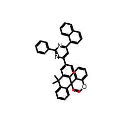 CC1(C)c2ccccc2C2(c3ccccc3Oc3ccccc32)c2ccc(-c3cc(-c4cccc5ccccc45)nc(-c4ccccc4)n3)cc21